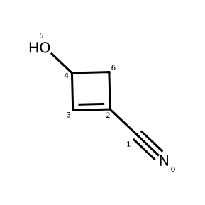 N#CC1=CC(O)C1